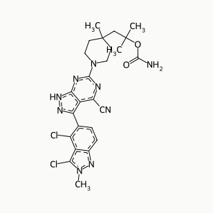 Cn1nc2ccc(-c3n[nH]c4nc(N5CCC(C)(CC(C)(C)OC(N)=O)CC5)nc(C#N)c34)c(Cl)c2c1Cl